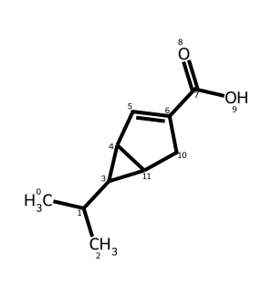 CC(C)C1C2C=C(C(=O)O)CC21